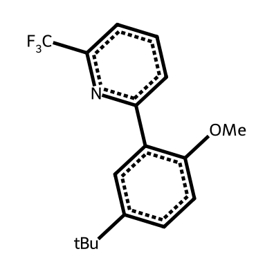 COc1ccc(C(C)(C)C)cc1-c1cccc(C(F)(F)F)n1